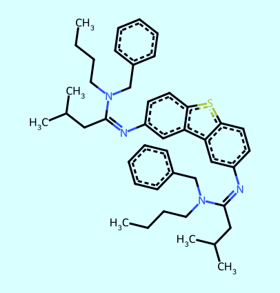 CCCCN(Cc1ccccc1)C(CC(C)C)=Nc1ccc2sc3ccc(N=C(CC(C)C)N(CCCC)Cc4ccccc4)cc3c2c1